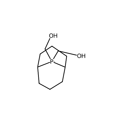 OC[P]1(CO)C2CCCC1CCC2